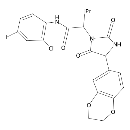 CC(C)C(C(=O)Nc1ccc(I)cc1Cl)N1C(=O)NC(c2ccc3c(c2)OCCO3)C1=O